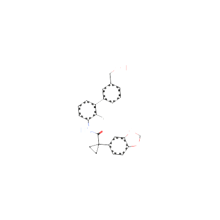 Cc1c(NC(=O)C2(c3ccc4c(c3)OCO4)CC2)cccc1-c1cccc(CO)c1